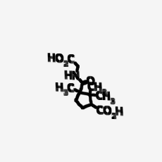 CC1(C(=O)NCC(=O)O)CCC(C(=O)O)C1(C)C